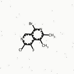 Cc1nc(Br)c2cnc(Cl)c(F)c2c1C